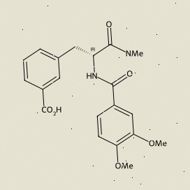 CNC(=O)[C@@H](Cc1cccc(C(=O)O)c1)NC(=O)c1ccc(OC)c(OC)c1